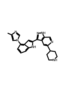 Cc1cn(-c2cccc3[nH]c(-c4n[nH]c5cnc(C6CCNCC6)cc45)cc23)cn1